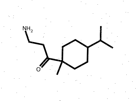 CC(C)C1CCC(C)(C(=O)CCN)CC1